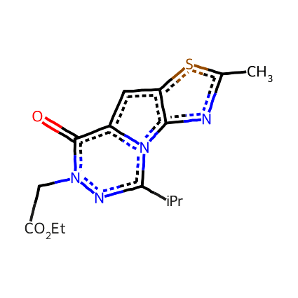 CCOC(=O)Cn1nc(C(C)C)n2c(cc3sc(C)nc32)c1=O